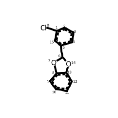 Clc1[c]ccc(C2Oc3ccccc3O2)c1